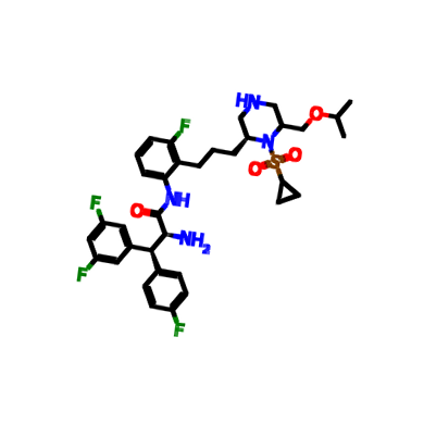 CC(C)OCC1CNC[C@H](CCCc2c(F)cccc2NC(=O)[C@@H](N)[C@@H](c2ccc(F)cc2)c2cc(F)cc(F)c2)N1S(=O)(=O)C1CC1